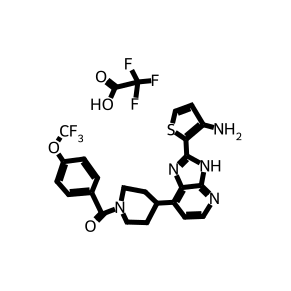 Nc1ccsc1-c1nc2c(C3CCN(C(=O)c4ccc(OC(F)(F)F)cc4)CC3)ccnc2[nH]1.O=C(O)C(F)(F)F